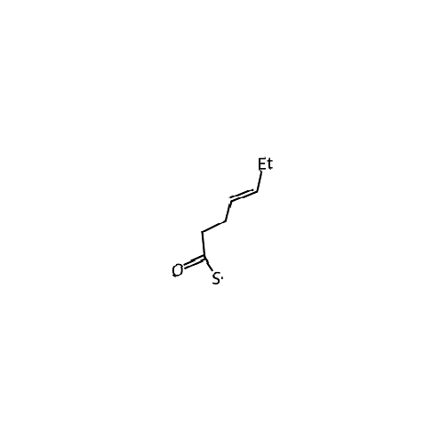 CCC=CCCC(=O)[S]